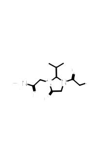 CC(C)C1N(CC(N)=O)C(=O)CN1C(=O)CCl